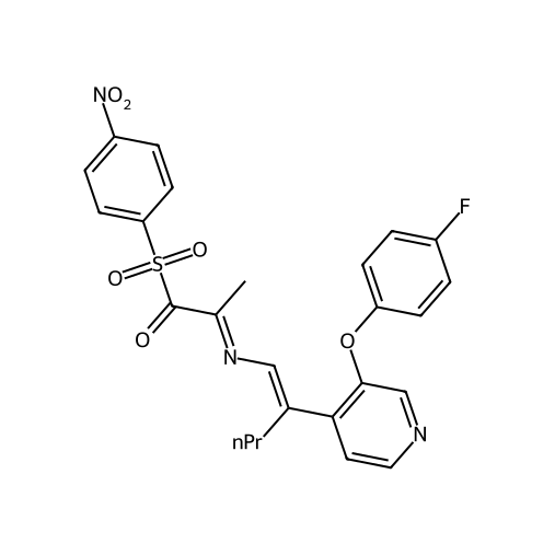 CCC/C(=C\N=C(/C)C(=O)S(=O)(=O)c1ccc([N+](=O)[O-])cc1)c1ccncc1Oc1ccc(F)cc1